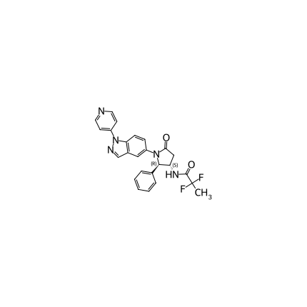 CC(F)(F)C(=O)N[C@H]1CC(=O)N(c2ccc3c(cnn3-c3ccncc3)c2)[C@@H]1c1ccccc1